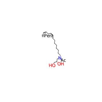 CCCCC/C=C\C/C=C\CCCCCCCCN(CC(O)CO)C(C)=O